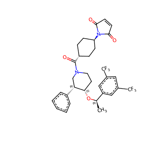 C[C@@H](O[C@H]1CCN(C(=O)[C@H]2CC[C@H](N3C(=O)C=CC3=O)CC2)C[C@H]1c1ccccc1)c1cc(C(F)(F)F)cc(C(F)(F)F)c1